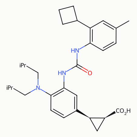 Cc1ccc(NC(=O)Nc2cc([C@@H]3C[C@@H]3C(=O)O)ccc2N(CC(C)C)CC(C)C)c(C2CCC2)c1